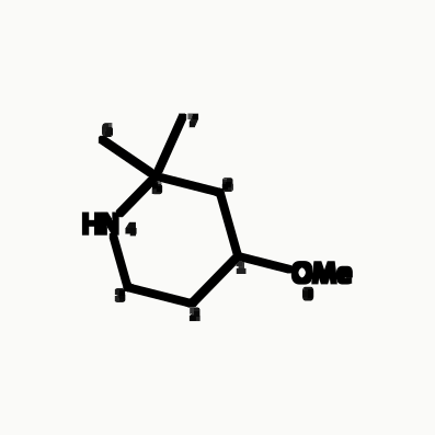 COC1CCNC(C)(C)C1